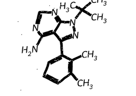 Cc1cccc(-c2nn(C(C)(C)C)c3ncnc(N)c23)c1C